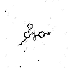 CCCSC1CCC(N2CCCC2)C(N(C)C(=O)c2ccc(Br)cc2)C1